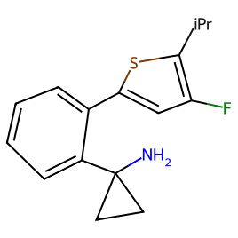 CC(C)c1sc(-c2ccccc2C2(N)CC2)cc1F